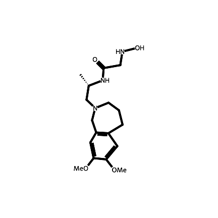 COc1cc2c(cc1OC)CN(C[C@H](C)NC(=O)CNO)CCC2